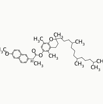 COc1ccc2cc([C@@H](C)C(=O)Oc3cc(C)c4c(c3C)CCC(C)(CCCC(C)CCCC(C)CCCC(C)C)O4)ccc2c1